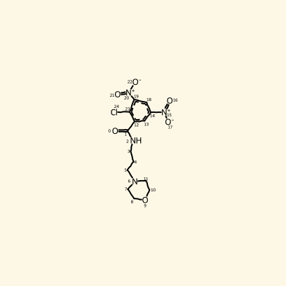 O=C(NCCCN1CCOCC1)c1cc([N+](=O)[O-])cc([N+](=O)[O-])c1Cl